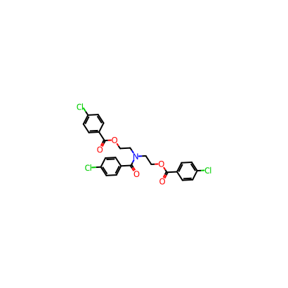 O=C(OCCN(CCOC(=O)c1ccc(Cl)cc1)C(=O)c1ccc(Cl)cc1)c1ccc(Cl)cc1